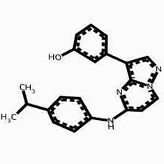 CC(C)c1ccc(Nc2ccn3ncc(-c4cccc(O)c4)c3n2)cc1